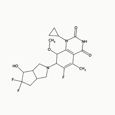 COC1c2c(c(=O)[nH]c(=O)n2C2CC2)C(C)=C(F)C1N1CC2CC(F)(F)C(O)C2C1